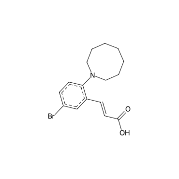 O=C(O)C=Cc1cc(Br)ccc1N1CCCCCCC1